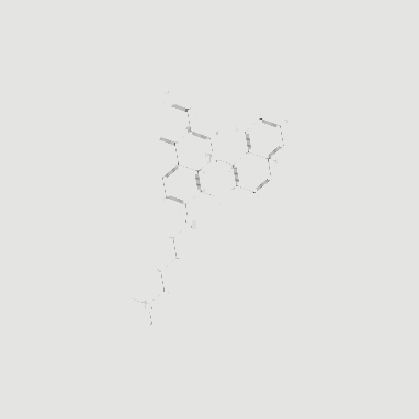 CN(C)CCCCNc1ccc2c(=O)c(C(=O)O)cn3c2c1Oc1ccc2ccccc2c1-3